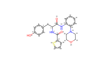 O=C(NC(Cc1ccc(O)cc1)C(=O)Nc1ccccc1N1CCOCC1)c1cccs1